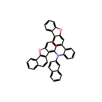 c1ccc(N(c2ccc3ccccc3c2)c2cccc3oc4c5ccccc5ccc4c23)c(-c2ccc3c(c2)oc2ccccc23)c1